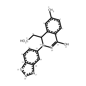 Cc1ccc2c(c1)C(CC(=O)O)N(c1ccc3snnc3c1)N=C2O